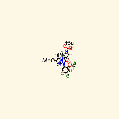 COc1cnn(C2(C(=O)Nc3ccc(Cl)cc3OC(F)F)CCN(C(=O)OC(C)(C)C)CC2)c1C(C)C